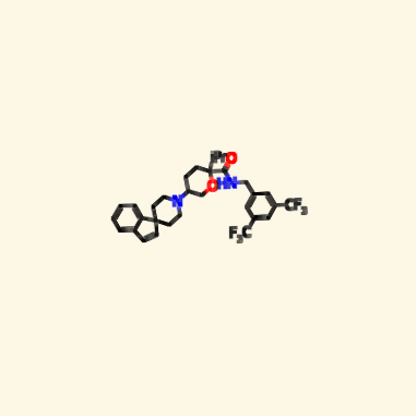 CC(C)C1(C(=O)NCc2cc(C(F)(F)F)cc(C(F)(F)F)c2)CCC(N2CCC3(C=Cc4ccccc43)CC2)CO1